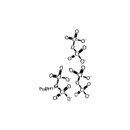 [O]=[Cr](=[O])([O-])[O][Cr](=[O])(=[O])[O-].[O]=[Cr](=[O])([O-])[O][Cr](=[O])(=[O])[O-].[O]=[Cr](=[O])([O-])[O][Cr](=[O])(=[O])[O-].[Pm+3].[Pm+3]